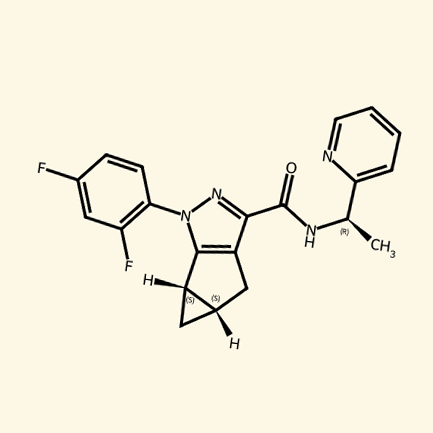 C[C@@H](NC(=O)c1nn(-c2ccc(F)cc2F)c2c1C[C@@H]1C[C@H]21)c1ccccn1